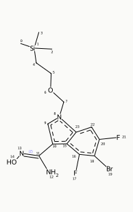 C[Si](C)(C)CCOCn1cc(/C(N)=N/O)c2c(F)c(Br)c(F)cc21